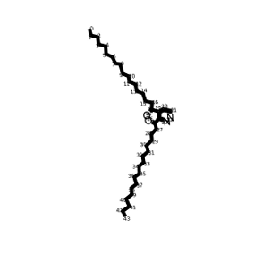 CCCCCCCCCCCCCCCCCC(=O)c1ccnnc1C(=O)CCCCCCCCCCCCCCCCC